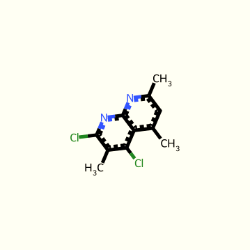 Cc1cc(C)c2c(Cl)c(C)c(Cl)nc2n1